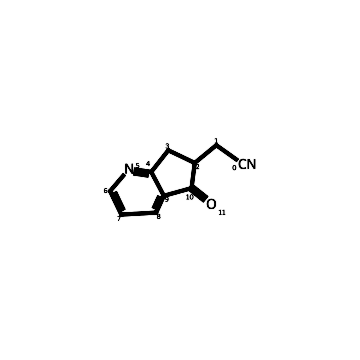 N#CCC1Cc2ncccc2C1=O